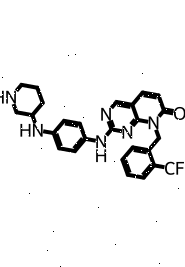 O=c1ccc2cnc(Nc3ccc(NC4CCCNC4)cc3)nc2n1Cc1ccccc1C(F)(F)F